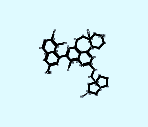 Oc1cc(-c2nc3c4c(nc(OC[C@@]56CCCN5C[C@H](F)C6)nc4c2F)N2CCNC[C@H]2CC3)c2c(F)c(F)ccc2c1